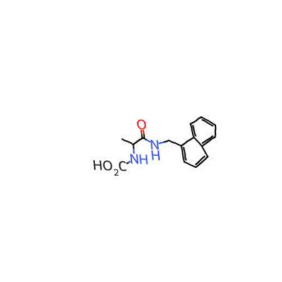 CC(NC(=O)O)C(=O)NCc1cccc2ccccc12